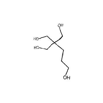 OCCCC(CO)(CO)CO